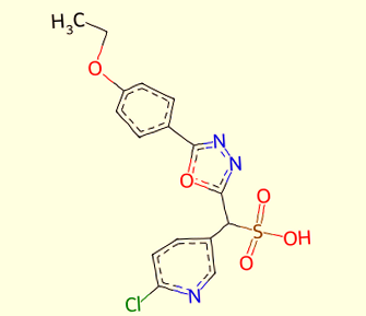 CCOc1ccc(-c2nnc(C(c3ccc(Cl)nc3)S(=O)(=O)O)o2)cc1